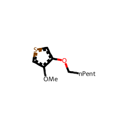 CCCCCCOc1cscc1OC